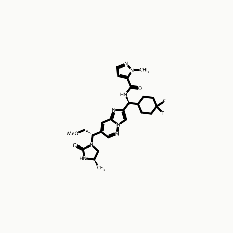 COC[C@H](c1cnn2cc([C@@H](NC(=O)c3ccnn3C)C3CCC(F)(F)CC3)nc2c1)N1C[C@@H](C(F)(F)F)NC1=O